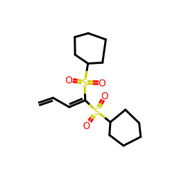 C=CC=C(S(=O)(=O)C1CCCCC1)S(=O)(=O)C1CCCCC1